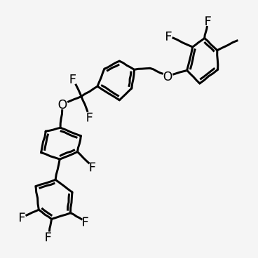 Cc1ccc(OCc2ccc(C(F)(F)Oc3ccc(-c4cc(F)c(F)c(F)c4)c(F)c3)cc2)c(F)c1F